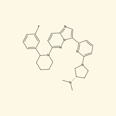 CN(C)[C@H]1CCN(c2cccc(-c3cnc4ccc(N5CCCCC5c5cccc(F)c5)nn34)n2)C1